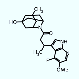 COc1cnc2[nH]cc(C(C)CC(=O)N3C4CC5(C)CC3CC(O)(C4)C5)c2c1F